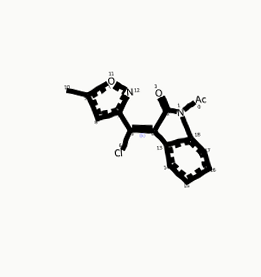 CC(=O)N1C(=O)/C(=C(/Cl)c2cc(C)on2)c2ccccc21